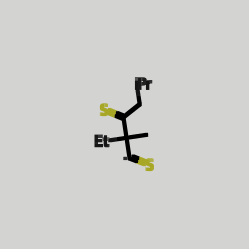 CCC(C)([C]=S)C(=S)CC(C)C